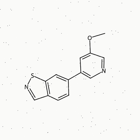 COc1cncc(-c2ccc3cnsc3c2)c1